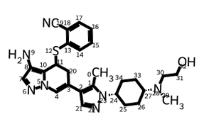 Cc1c(C2=Cn3ncc(N)c3C(Sc3ccccc3C#N)C2)cnn1[C@H]1CC[C@@H](N(C)CCO)CC1